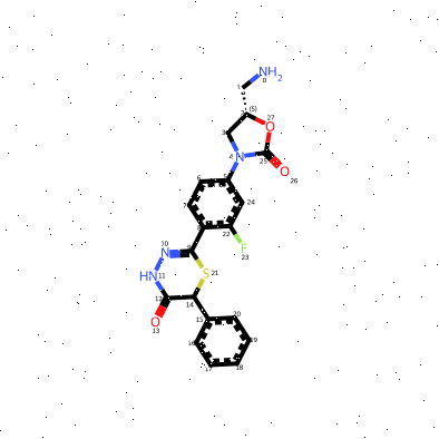 NC[C@H]1CN(c2ccc(C3=NNC(=O)C(c4ccccc4)S3)c(F)c2)C(=O)O1